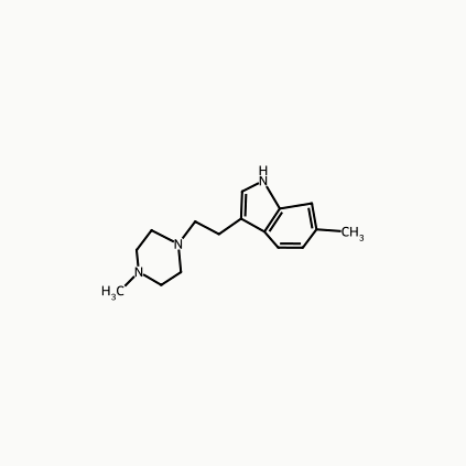 Cc1ccc2c(CCN3CCN(C)CC3)c[nH]c2c1